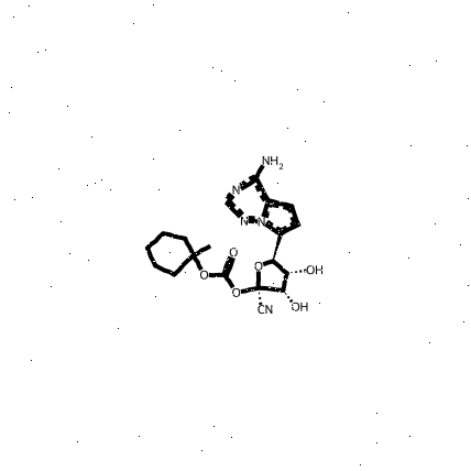 CC1(OC(=O)O[C@@]2(C#N)O[C@@H](c3ccc4c(N)ncnn34)[C@H](O)[C@@H]2O)CCCCC1